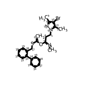 C=C(O/C(CCn1nc(C)c(Br)c1C)=N\C)SCc1ccccc1-c1ccccc1